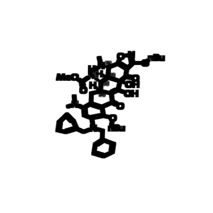 CCCCOc1noc2c1C(=O)[C@@]1(O)C(O)=C3C(=O)c4c(c(N(C)C)cc(N(Cc5ccccc5)Cc5ccccc5)c4OCCCC)C[C@H]3[C@H](NC(=O)OC)[C@H]1[C@@H]2N(C)C